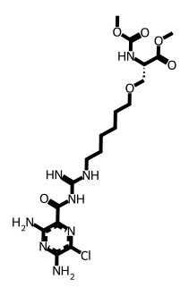 COC(=O)N[C@@H](COCCCCCCNC(=N)NC(=O)c1nc(Cl)c(N)nc1N)C(=O)OC